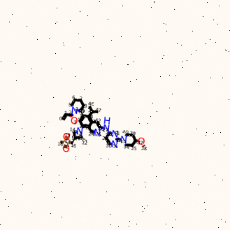 C=CC(=O)N1CCCC[C@H]1c1cc(N2C[C@H](CS(C)(=O)=O)[C@H]2C)c2cnc(Nc3ccnc(N4CCC(OC)CC4)n3)cc2c1C(C)C